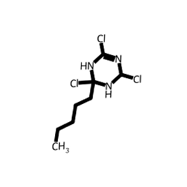 CCCCCC1(Cl)NC(Cl)=NC(Cl)N1